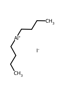 CCC[CH2][Al+][CH2]CCC.[I-]